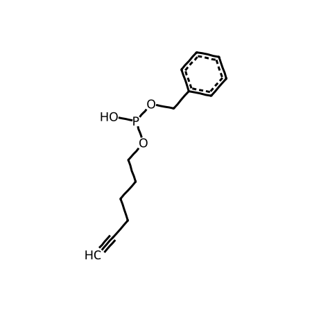 C#CCCCCOP(O)OCc1ccccc1